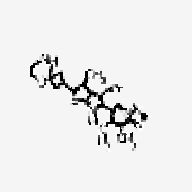 Cc1c(-c2[nH]c3sc(C4CC5(CNCCO5)C4)c(C)c3c2C(C)C)cn2ncnc2c1C